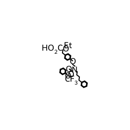 CCOC(Cc1ccc(OCCN(CCCCc2ccccc2)C(=O)Oc2ccccc2OC(F)(F)F)cc1)C(=O)O